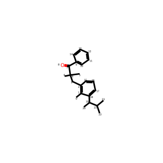 Cc1c(CC(C)(C)C(=O)c2ccccc2)cccc1C(C)C(C)C